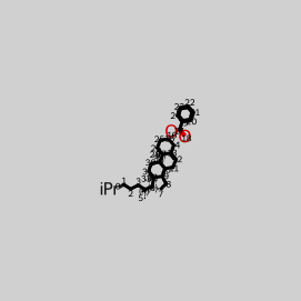 CC(C)CCC[C@@H](C)[C@H]1CCC2C3CC=C4CC(OC(=O)c5ccccc5)CC[C@]4(C)C3CC[C@@]21C